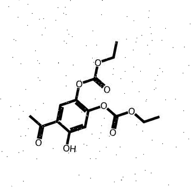 CCOC(=O)Oc1cc(O)c(C(C)=O)cc1OC(=O)OCC